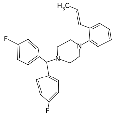 C/C=C/c1ccccc1N1CCN(C(c2ccc(F)cc2)c2ccc(F)cc2)CC1